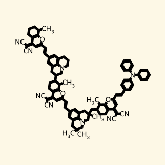 CC1CCCC2=C1OC(/C=C/c1cc3c4c(c1)CC(C1CCC5=C(OC(/C=C/c6cc7c8c(c6)CC(C)(CC6CCC9=C(OC(/C=C/c%10ccc(N(c%11ccccc%11)c%11ccccc%11)cc%10)=CC9=C(C#N)C#N)C6C)CN8CC(C)(C)C7)=CC5=C(C#N)C#N)C1C)CN4CCC3)=CC2=C(C#N)C#N